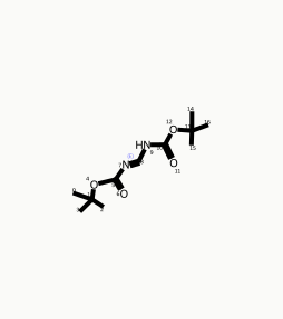 CC(C)(C)OC(=O)/N=[C]/NC(=O)OC(C)(C)C